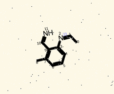 C/C=N\c1cccc(C)c1C=N